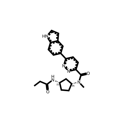 CCC(=O)N[C@H]1CC[C@@H](N(C)C(=O)c2ccc(-c3ccc4[nH]ccc4c3)nn2)C1